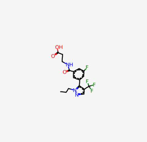 CCCn1ncc(C(F)(F)F)c1-c1cc(F)cc(C(=O)NCCC(=O)O)c1